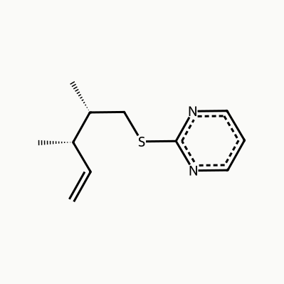 C=C[C@H](C)[C@H](C)CSc1ncccn1